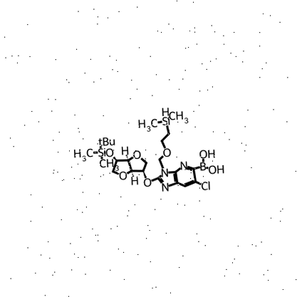 C[SiH](C)CCOCn1c(O[C@@H]2CO[C@H]3[C@@H]2OC[C@H]3O[Si](C)(C)C(C)(C)C)nc2cc(Cl)c(B(O)O)nc21